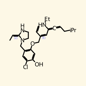 C=C/C(=C\C(=C=CCC(C)C)NCC)COc1cc(O)c(Cl)cc1CN1CCN/C1=C/C